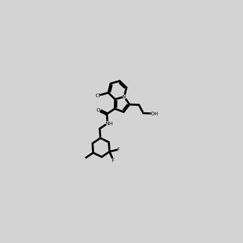 CC1CC(CNC(=O)c2cc(CCO)n3cccc(Cl)c23)CC(F)(F)C1